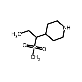 [CH2]S(=O)(=O)C(CC)C1CCNCC1